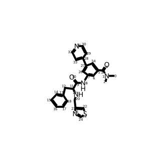 CN(C)C(=O)c1cc(NC(=O)C(Cc2ccccc2)NCc2cscn2)cc(-c2ccncc2)c1